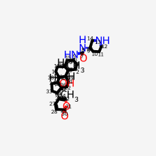 C[C@]12CC[C@H](NC(=O)N[C@@H]3CCCNC3)C[C@H]1CC[C@@H]1[C@@H]2CC[C@]2(C)[C@@H](c3ccc(=O)oc3)CC[C@]12O